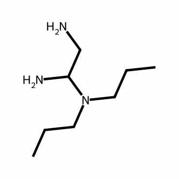 CCCN(CCC)C(N)CN